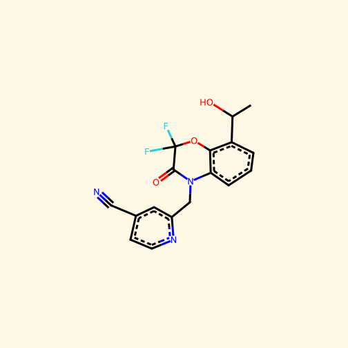 CC(O)c1cccc2c1OC(F)(F)C(=O)N2Cc1cc(C#N)ccn1